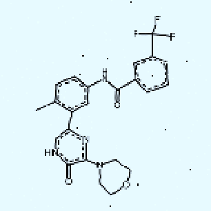 Cc1ccc(NC(=O)c2cccc(C(F)(F)F)c2)cc1-c1c[nH]c(=O)c(N2CCOCC2)n1